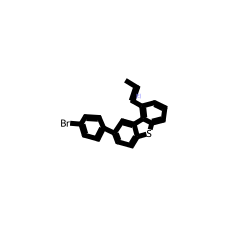 C/C=C/c1cccc2sc3ccc(-c4ccc(Br)cc4)cc3c12